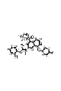 CN(C)/C=N\S(=O)(=O)c1cc(NC(=O)Cc2ccccc2Cl)cc2c(Oc3ccc(F)cc3)nccc12